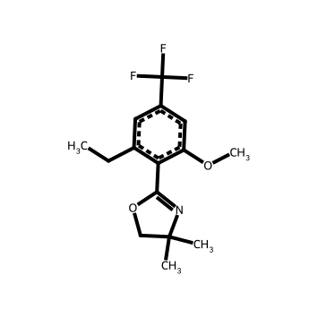 CCc1cc(C(F)(F)F)cc(OC)c1C1=NC(C)(C)CO1